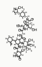 Cc1ncsc1-c1ccc(CNC(=O)[C@@H]2C[C@@H](O)CN2C(=O)[C@@H](NC(=O)CNC(=O)c2cc(-c3ccccc3F)cc(NC(=O)c3c[nH]c(=O)cc3C(F)(F)F)c2N2C[C@@H](C)N(C)[C@@H](C)C2)C(C)(C)C)cc1